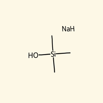 C[Si](C)(C)O.[NaH]